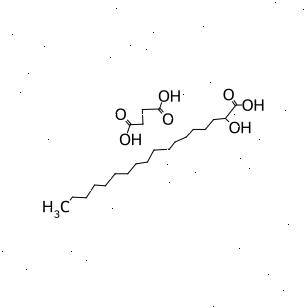 CCCCCCCCCCCCCCCCC(O)C(=O)O.O=C(O)CCC(=O)O